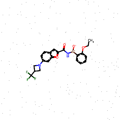 CCOc1ccccc1[S+]([O-])NC(=O)c1cc2ccc(N3CC(C(F)(F)F)C3)cc2o1